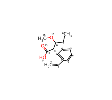 C=Cc1ccccc1.CCC(CC(=O)O)OC